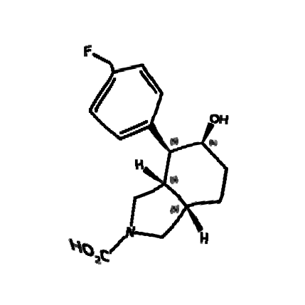 O=C(O)N1C[C@H]2CC[C@H](O)[C@H](c3ccc(F)cc3)[C@H]2C1